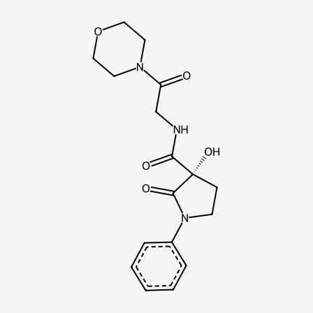 O=C(CNC(=O)[C@@]1(O)CCN(c2ccccc2)C1=O)N1CCOCC1